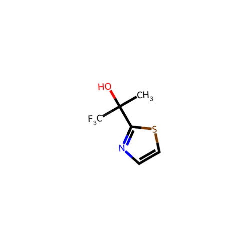 CC(O)(c1nccs1)C(F)(F)F